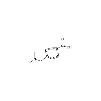 CN(C)Cc1ccc([N+](=O)O)cc1